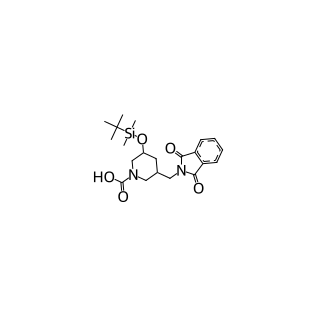 CC(C)(C)[Si](C)(C)OC1CC(CN2C(=O)c3ccccc3C2=O)CN(C(=O)O)C1